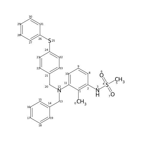 Cc1c(NS(C)(=O)=O)cccc1N(Cc1ccccc1)Cc1ccc(Sc2ccccc2)cc1